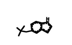 CC(C)(C)Cc1ccc2[nH]ccc2c1